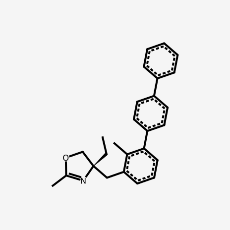 CC[C@]1(Cc2cccc(-c3ccc(-c4ccccc4)cc3)c2C)COC(C)=N1